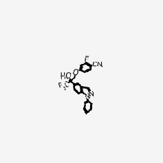 N#Cc1ccc(OCC(O)(c2ccc3c(cnn3-c3ccccc3)c2)C(F)(F)F)cc1F